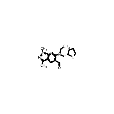 CCN(C[C@@H]1CCCO1)c1nc2c(cc1C=O)c(C)nn2C